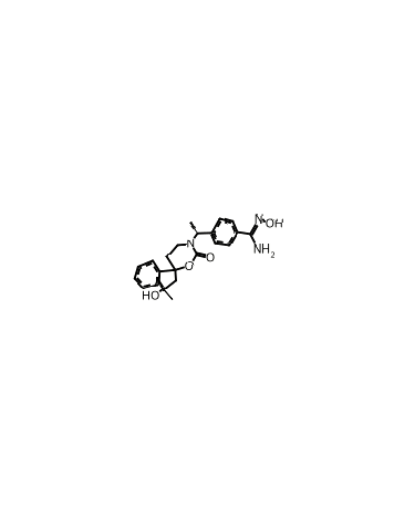 C[C@@H](c1ccc(/C(N)=N/O)cc1)N1CCC(CC(C)(C)O)(c2ccccc2)OC1=O